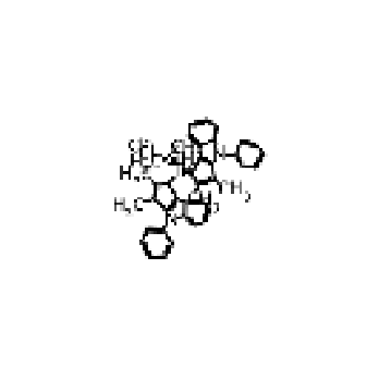 CC1=C(C)[CH]([Ti+2]([CH]2C(C)=C(C)c3c2c2ccccc2n3-c2ccccc2)[SiH](C)C)c2c1n(-c1ccccc1)c1ccccc21.[Cl-].[Cl-]